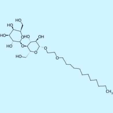 CCCCCCCCCCCCOCCO[C@@H]1O[C@H](CO)[C@@H](O[C@@H]2O[C@H](CO)[C@H](O)[C@H](O)[C@H]2O)[C@H](O)[C@H]1O